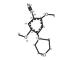 COc1cc(N2CCOCC2)c(OC)cc1[N+]#N